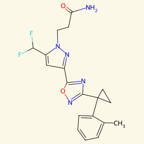 Cc1ccccc1C1(c2noc(-c3cc(C(F)F)n(CCC(N)=O)n3)n2)CC1